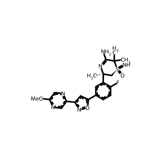 COc1cnc(-c2cc(-c3ccc(F)c([C@]4(C)C[S@@](=N)(=O)C(C)(C)C(N)=N4)c3)on2)cn1